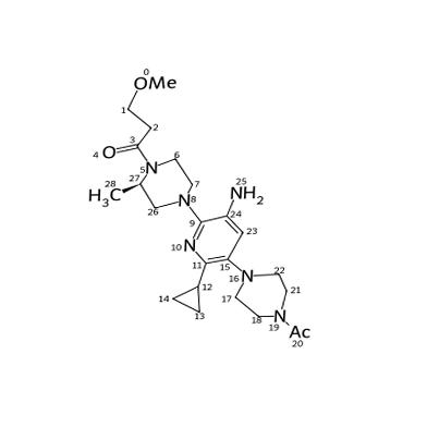 COCCC(=O)N1CCN(c2nc(C3CC3)c(N3CCN(C(C)=O)CC3)cc2N)C[C@H]1C